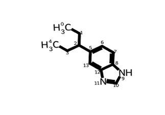 CCC(CC)c1ccc2[nH]cnc2c1